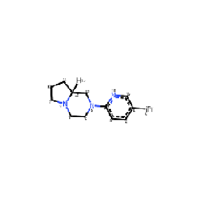 CC(C)c1ccc(N2CCN3CCC[C@@H]3C2)nc1